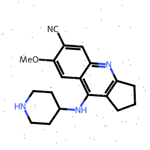 COc1cc2c(NC3CCNCC3)c3c(nc2cc1C#N)CCC3